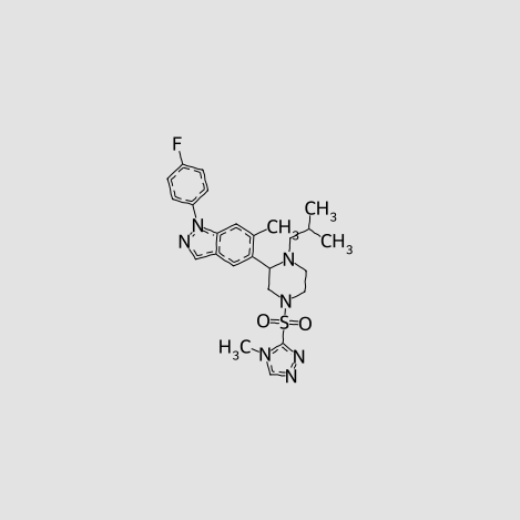 Cc1cc2c(cnn2-c2ccc(F)cc2)cc1C1CN(S(=O)(=O)c2nncn2C)CCN1CC(C)C